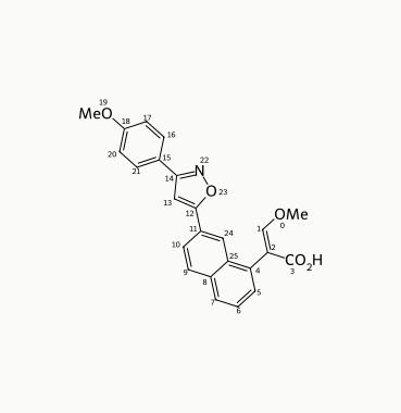 COC=C(C(=O)O)c1cccc2ccc(-c3cc(-c4ccc(OC)cc4)no3)cc12